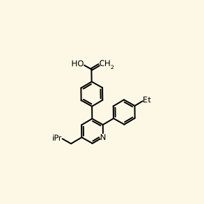 C=C(O)c1ccc(-c2cc(CC(C)C)cnc2-c2ccc(CC)cc2)cc1